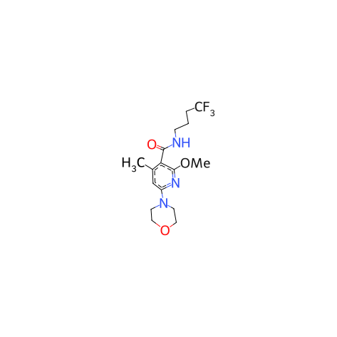 COc1nc(N2CCOCC2)cc(C)c1C(=O)NCCCC(F)(F)F